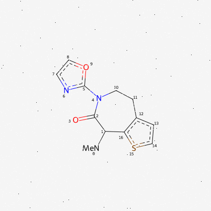 CNC1C(=O)N(c2ncco2)CCc2ccsc21